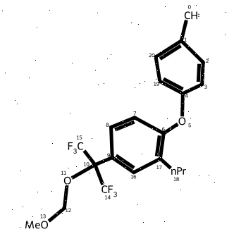 [CH]c1ccc(Oc2ccc(C(OCOC)(C(F)(F)F)C(F)(F)F)cc2CCC)cc1